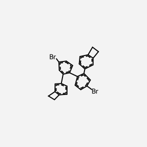 Brc1ccc(-c2ccc(Br)cc2-c2ccc3c(c2)CC3)c(-c2ccc3c(c2)CC3)c1